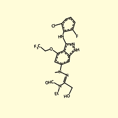 CCN(C=O)/C(CO)=N\N(C)c1cc(OCC(F)(F)F)c2c(Nc3c(F)cccc3Cl)n[nH]c2c1